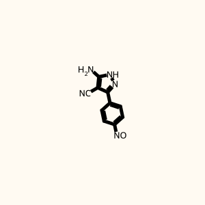 N#Cc1c(-c2ccc(N=O)cc2)n[nH]c1N